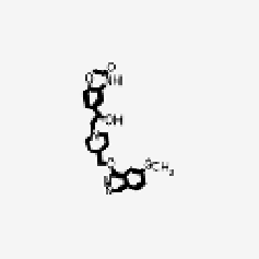 COc1ccc2cnnc(OCC3CCN(C[C@H](O)c4ccc5c(c4)NC(=O)CO5)CC3)c2c1